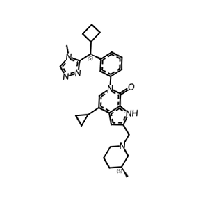 C[C@H]1CCCN(Cc2cc3c(C4CC4)cn(-c4cccc([C@@H](c5nncn5C)C5CCC5)c4)c(=O)c3[nH]2)C1